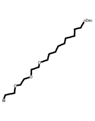 CCCCCCCCCCCCCCCCCCCOCCOCCOCCBr